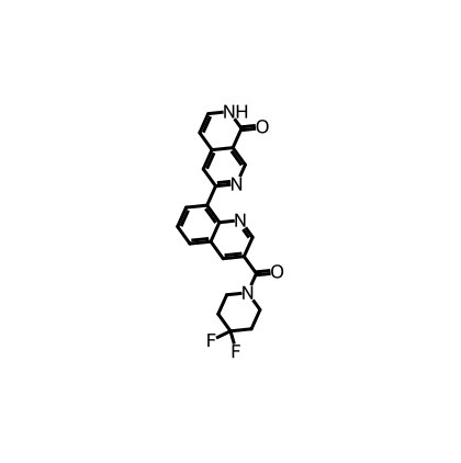 O=C(c1cnc2c(-c3cc4cc[nH]c(=O)c4cn3)cccc2c1)N1CCC(F)(F)CC1